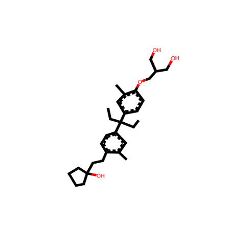 CCC(CC)(c1ccc(CCC2(O)CCCC2)c(C)c1)c1ccc(OCC(CO)CO)c(C)c1